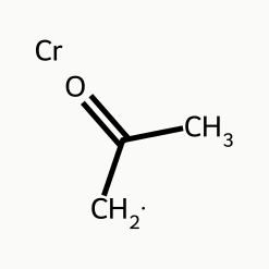 [CH2]C(C)=O.[Cr]